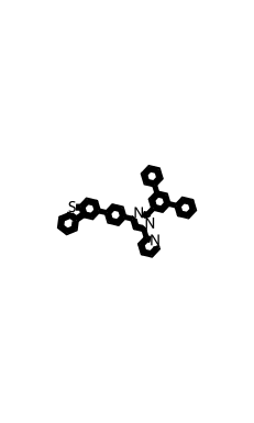 c1ccc(-c2cc(-c3ccccc3)cc(-c3nc(-c4ccc(-c5ccc6sc7ccccc7c6c5)cc4)cc(-c4ccccn4)n3)c2)cc1